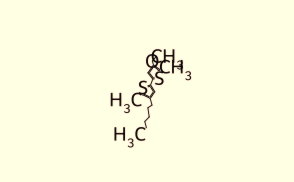 CCCCCCc1cc(-c2cc(OC)c(C)s2)sc1C